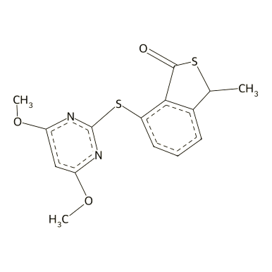 COc1cc(OC)nc(Sc2cccc3c2C(=O)SC3C)n1